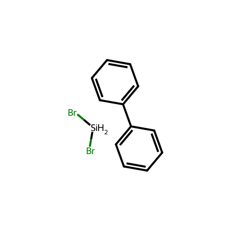 Br[SiH2]Br.c1ccc(-c2ccccc2)cc1